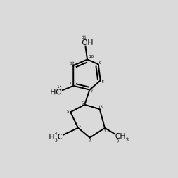 CC1CC(C)CC(c2ccc(O)cc2O)C1